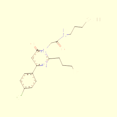 O=C(Cn1c(CCCC(F)(F)F)nc(-c2ccc(Cl)cc2)cc1=O)NCCCS(=O)(=O)O